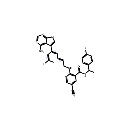 C\C(F)=C/C(=C\C=C\CNc1ncc(C#N)cc1C(=O)NC(C)c1ccc(F)cc1)c1c[nH]c2ncnc(N)c12